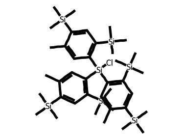 Cc1cc([Si](Cl)(c2cc(C)c([Si](C)(C)C)cc2[Si](C)(C)C)c2cc(C)c([Si](C)(C)C)cc2[Si](C)(C)C)c([Si](C)(C)C)cc1[Si](C)(C)C